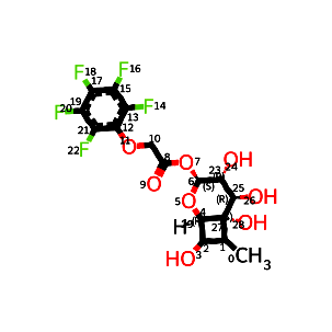 CC1C(O)[C@H]2O[C@@H](OC(=O)COc3c(F)c(F)c(F)c(F)c3F)[C@H](O)[C@@H](O)[C@@]12O